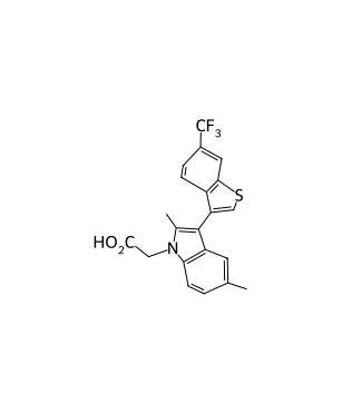 Cc1ccc2c(c1)c(-c1csc3cc(C(F)(F)F)ccc13)c(C)n2CC(=O)O